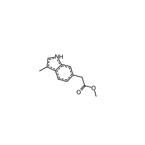 COC(=O)Cc1ccc2c(C)c[nH]c2c1